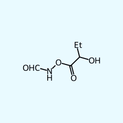 CCC(O)C(=O)ONC=O